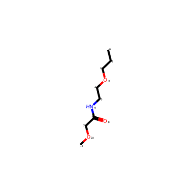 CCCOCCNC(=O)COC